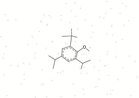 COc1c(C(C)C)cc(C(C)C)cc1C(C)(C)C